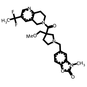 COCC1(C(=O)N2CCc3ncc(C(C)(F)F)cc3C2)CCN(Cc2ccc3oc(=O)n(C)c3c2)C1